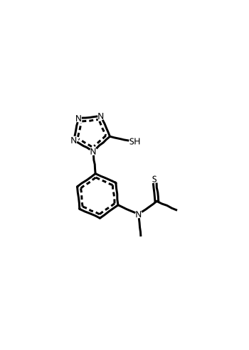 CC(=S)N(C)c1cccc(-n2nnnc2S)c1